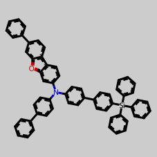 c1ccc(-c2ccc(N(c3ccc(-c4ccc([Si](c5ccccc5)(c5ccccc5)c5ccccc5)cc4)cc3)c3ccc4c(c3)oc3cc(-c5ccccc5)ccc34)cc2)cc1